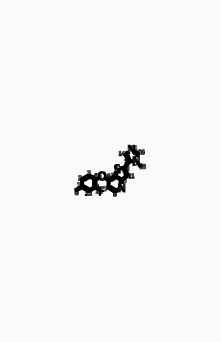 Cc1ccc(Oc2ccnc3cc(-c4cncn4C)sc23)c(F)c1